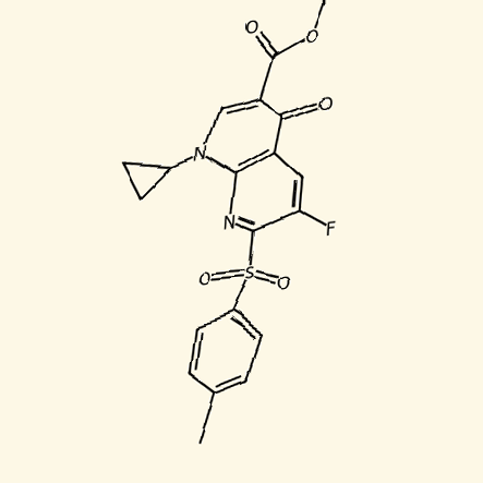 CCOC(=O)c1cn(C2CC2)c2nc(S(=O)(=O)c3ccc(C)cc3)c(F)cc2c1=O